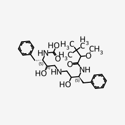 COC(C(=O)N[C@@H](Cc1ccccc1)C(O)CNC[C@@H](O)[C@H](Cc1ccccc1)NC(=O)O)C(C)(C)C